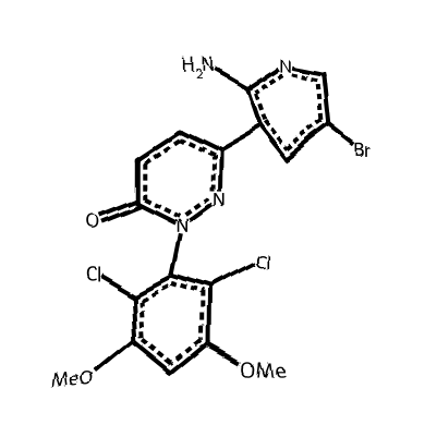 COc1cc(OC)c(Cl)c(-n2nc(-c3cc(Br)cnc3N)ccc2=O)c1Cl